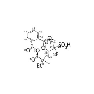 CCC(C)(C)C(=O)OC(=O)c1ccccc1C(=O)OC(C)C(F)(F)S(=O)(=O)O